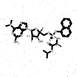 CC(C)OC(=O)[C@H](C)N[P@](=S)(OC[C@@]1(F)O[C@@H](n2cnc3c(N(C)C)nc(N)nc32)[C@](C)(F)[C@@H]1O)Oc1cccc2ccccc12